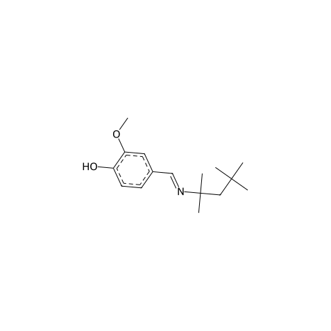 COc1cc(C=NC(C)(C)CC(C)(C)C)ccc1O